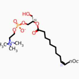 CCCCCCCC/C=C\CCCCCCCC(=O)O[C@@H](CO)COP(=O)([O-])OCC[N+](C)(C)C